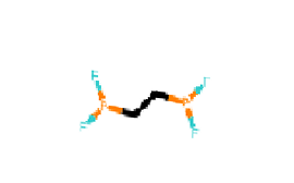 FP(F)CCP(F)F